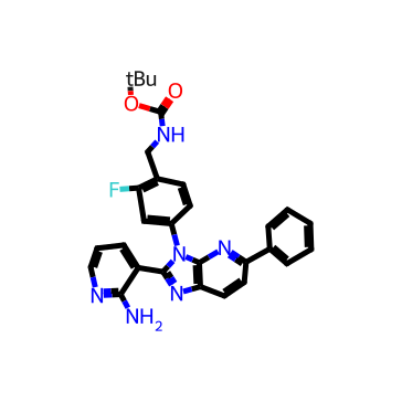 CC(C)(C)OC(=O)NCc1ccc(-n2c(-c3cccnc3N)nc3ccc(-c4ccccc4)nc32)cc1F